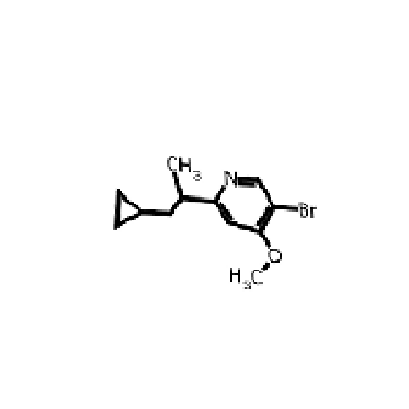 COc1cc(C(C)CC2CC2)ncc1Br